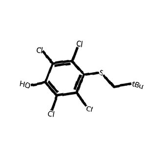 CC(C)(C)CSc1c(Cl)c(Cl)c(O)c(Cl)c1Cl